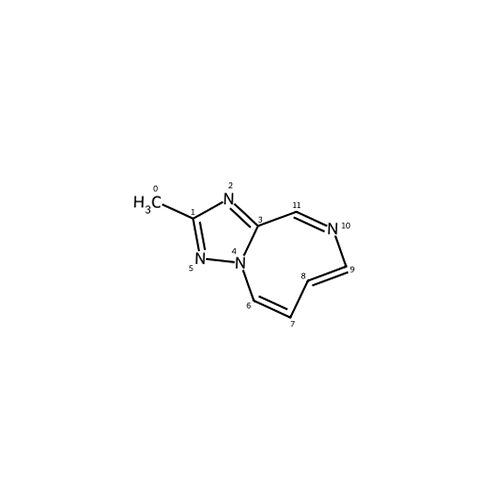 Cc1nc2n(n1)\C=C/C=C/N=C\2